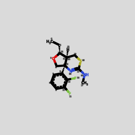 CC[C@H]1OC[C@]2(c3cccc(F)c3F)N=C(NC)SC[C@H]12